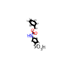 O=C(NC1CCC(S(=O)(=O)O)C1)OCc1ccccc1